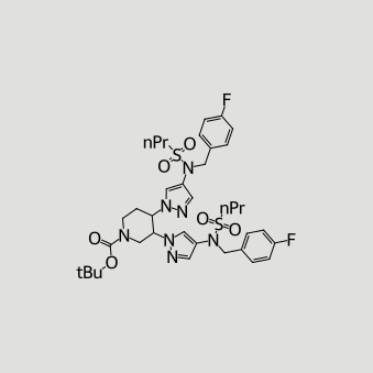 CCCS(=O)(=O)N(Cc1ccc(F)cc1)c1cnn(C2CCN(C(=O)OC(C)(C)C)CC2n2cc(N(Cc3ccc(F)cc3)S(=O)(=O)CCC)cn2)c1